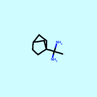 [CH2]C(N)(N)C12CCC(CC1)C2